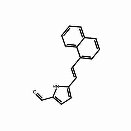 O=Cc1ccc(C=Cc2cccc3ccccc23)[nH]1